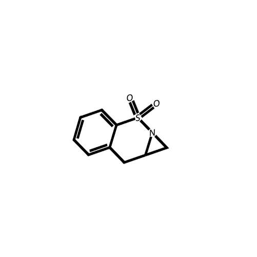 O=S1(=O)c2ccccc2CC2CN21